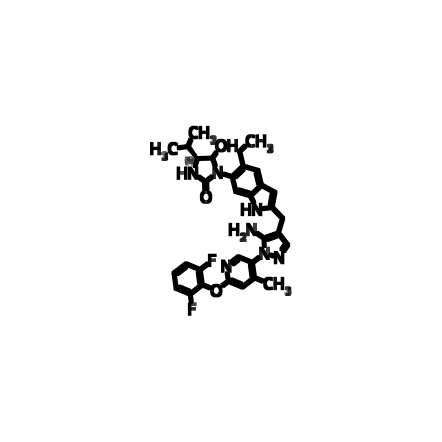 CCc1cc2cc(Cc3cnn(-c4cnc(Oc5c(F)cccc5F)cc4C)c3N)[nH]c2cc1N1C(=O)N[C@@H](C(C)C)C1O